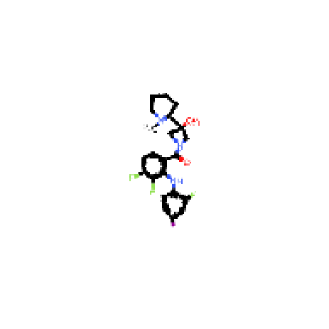 CN1CCCCC1C1(O)CN(C(=O)c2ccc(F)c(F)c2Nc2ccc(I)cc2F)C1